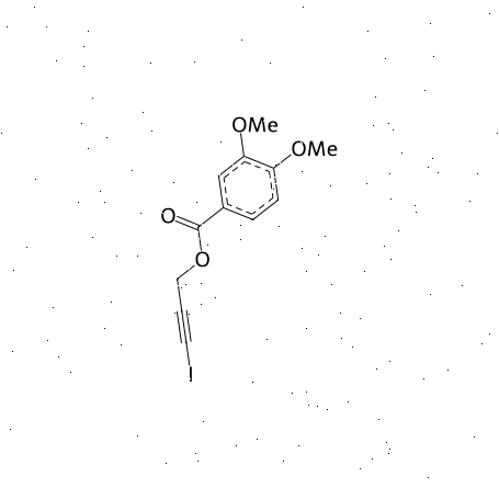 COc1ccc(C(=O)OCC#CI)cc1OC